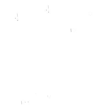 C1CCNCC1.C1CCNCC1.CC(=O)O.O=C(O)c1ccccc1